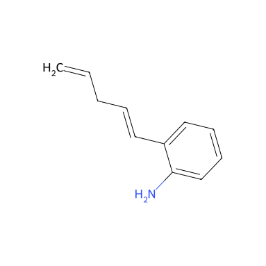 C=CCC=Cc1ccccc1N